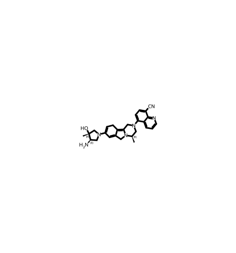 C[C@@H]1CN(c2ccc(C#N)c3ncccc23)CC2=C3CC=C(N4C[C@@H](N)[C@](C)(O)C4)C=C3CN21